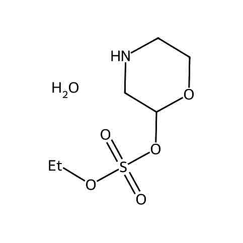 CCOS(=O)(=O)OC1CNCCO1.O